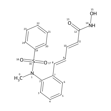 CN(c1ccccc1/C=C/C=C/C(=O)NO)S(=O)(=O)c1ccccc1